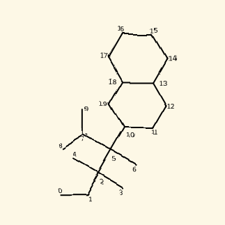 CCC(C)(C)C(C)([C](C)C)C1CCC2CCCCC2C1